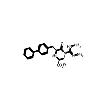 CCOC(=O)[C@H](C)N[C@@H](Cc1ccc(-c2ccccc2)cc1)C(=O)N/C(=N/N)NN